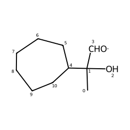 CC(O)([C]=O)C1CCCCCC1